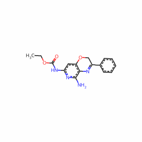 CCOC(=O)Nc1cc2c(c(N)n1)N=C(c1ccccc1)CO2